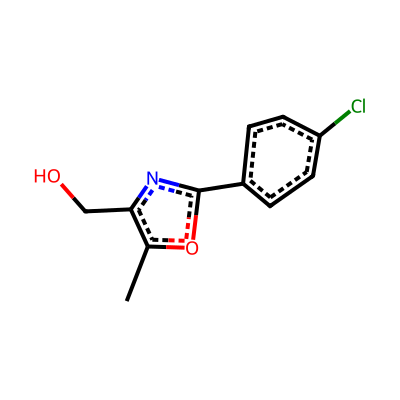 Cc1oc(-c2ccc(Cl)cc2)nc1CO